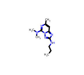 CCCNc1nc2cc(C)nc(N(C)C)n2n1